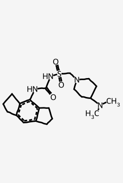 CN(C)C1CCN(CS(=O)(=O)NC(=O)Nc2c3c(cc4c2CCC4)CCC3)CC1